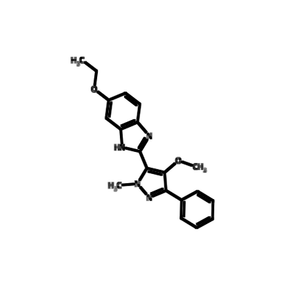 CCOc1ccc2nc(-c3c(OC)c(-c4ccccc4)nn3C)[nH]c2c1